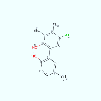 Cc1ccc(O)c(-c2cc(Cl)c(C)c(C(C)(C)C)c2O)c1